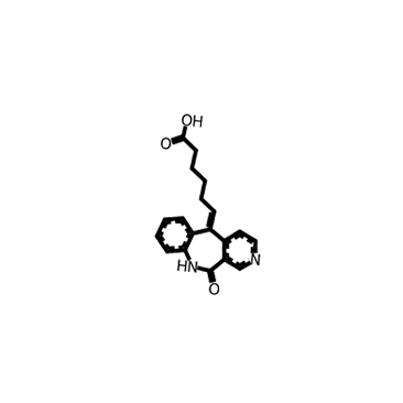 O=C(O)CCCC/C=C1\c2ccccc2NC(=O)c2cnccc21